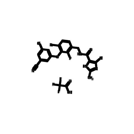 Cc1nc(Cl)c(C(=O)NCc2ccc(Br)c(Oc3cc(Cl)cc(C#N)c3)c2F)[nH]1.O=C(O)C(F)(F)F